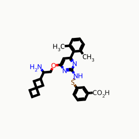 Cc1cccc(C)c1-c1cc(OCC(N)C2CC3(CCC3)C2)nc(NSc2cccc(C(=O)O)c2)n1